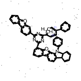 C=C(/C=C\C(=C/C)c1ccccc1)c1nc(-c2ccc3c(c2)oc2ccccc23)nc(-c2cccc3c2oc2c4c(ccc23)C2C=CC=CC2N4c2ccccc2)n1